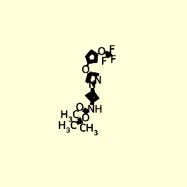 CC(C)(C)OC(=O)NC12CC(n3cc(O[C@H]4CC[C@H](OC(F)(F)F)C4)cn3)(C1)C2